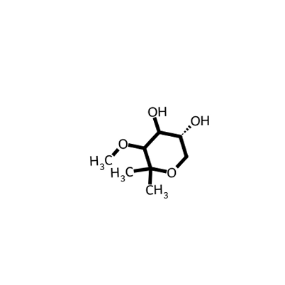 COC1C(O)[C@H](O)COC1(C)C